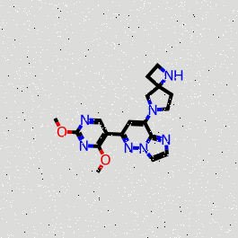 COc1ncc(-c2cc(N3CCC4(CCN4)C3)c3nccn3n2)c(OC)n1